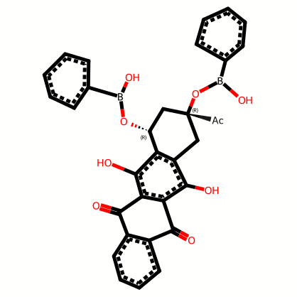 CC(=O)[C@@]1(OB(O)c2ccccc2)Cc2c(O)c3c(c(O)c2[C@H](OB(O)c2ccccc2)C1)C(=O)c1ccccc1C3=O